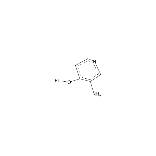 CCOc1ccncc1N